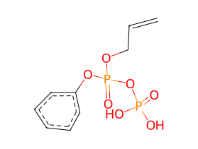 C=CCOP(=O)(Oc1ccccc1)OP(=O)(O)O